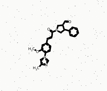 COc1cc(C=CC(=O)N2CC(C=O)C(c3ccccc3)C2)ccc1-n1cnc(C)c1